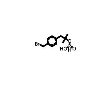 CC(C)(Cc1ccc(CBr)cc1)O[PH](=O)O